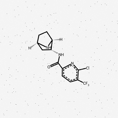 O=C(N[C@@H]1C[C@H]2CC[C@@H]1N2)c1ccc(C(F)(F)F)c(Cl)n1